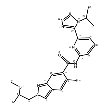 COC(C)Cn1cc2cc(F)c(C(=O)Nc3cccc(-c4nncn4C(C)C)n3)cc2n1